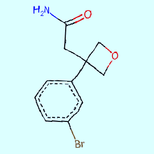 NC(=O)CC1(c2cccc(Br)c2)COC1